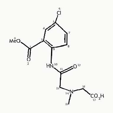 COC(=O)c1cc(Cl)ccc1NC(=O)CN(C)CC(=O)O